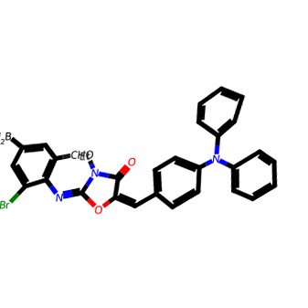 Bc1cc(Br)c(/N=C2/O/C(=C/c3ccc(N(c4ccccc4)c4ccccc4)cc3)C(=O)N2CC)c(C=O)c1